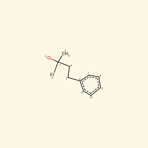 CCC(C)([O])CCc1ccccc1